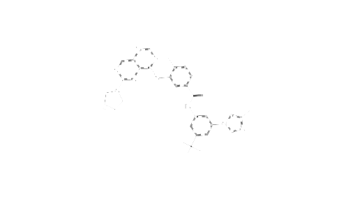 Cc1cn(-c2cc(NC(=O)c3ccc(C)c(Nc4ncnc5cnc(N6CC[C@H](F)C6)nc45)c3)cc(C(F)(F)F)c2)cn1